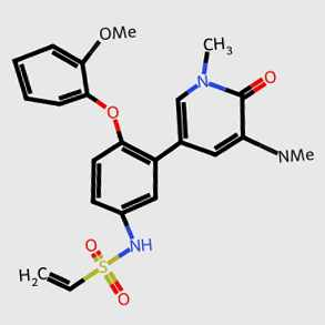 C=CS(=O)(=O)Nc1ccc(Oc2ccccc2OC)c(-c2cc(NC)c(=O)n(C)c2)c1